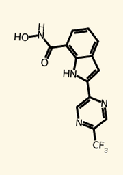 O=C(NO)c1cccc2cc(-c3cnc(C(F)(F)F)cn3)[nH]c12